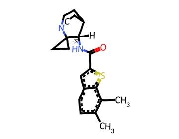 Cc1ccc2cc(C(=O)N[C@H]3C4CCN(CC4)C34CC4)sc2c1C